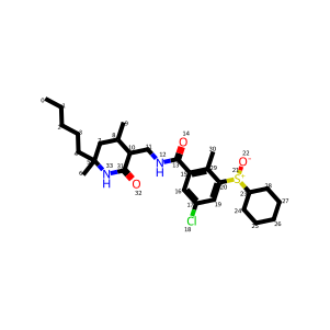 CCCCCC1(C)CC(C)C(CNC(=O)c2cc(Cl)cc([S+]([O-])C3CCCCC3)c2C)C(=O)N1